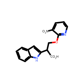 O=C(O)C(COc1ncccc1[N+](=O)[O-])c1cc2ccccc2[nH]1